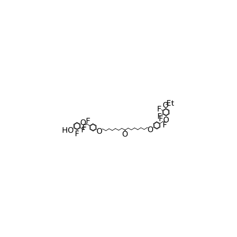 CCOc1ccc(OC(F)(F)c2ccc(OCCCCCCCC(=O)CCCCCCCOc3ccc(C(F)(F)Oc4ccc(O)c(F)c4F)cc3)cc2)c(F)c1F